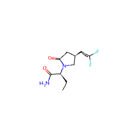 CC[C@@H](C(N)=O)N1C[C@H](C=C(F)F)CC1=O